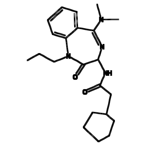 CCCN1C(=O)C(NC(=O)CC2CCCCC2)N=C(N(C)C)c2ccccc21